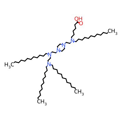 CCCCCCCCCCCCN(CCCCCCCCCCCC)CCN(CCCCCCCCCCCC)CCN1CCN(CCN(CCCCCCCCCCCC)CCCCCC(=O)O)CC1